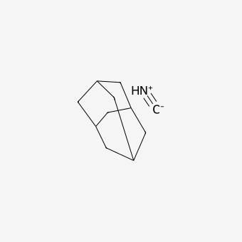 C1C2CC3CC1CC(C2)C3.[C-]#[NH+]